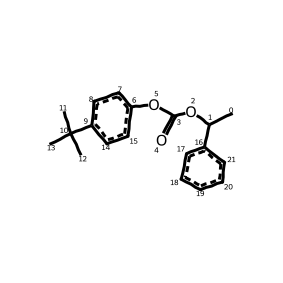 CC(OC(=O)Oc1ccc(C(C)(C)C)cc1)c1ccccc1